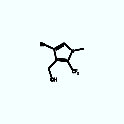 Cn1cc(Br)c(CO)c1C(F)(F)F